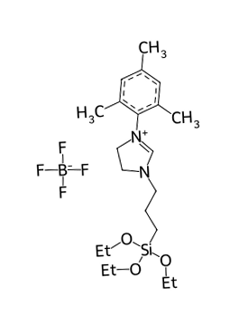 CCO[Si](CCCN1C=[N+](c2c(C)cc(C)cc2C)CC1)(OCC)OCC.F[B-](F)(F)F